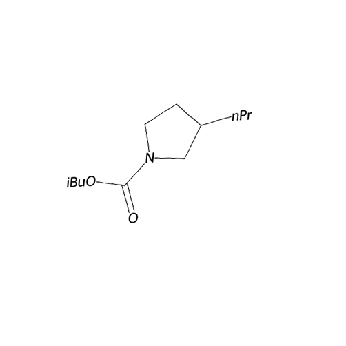 CCCC1CCN(C(=O)OCC(C)C)C1